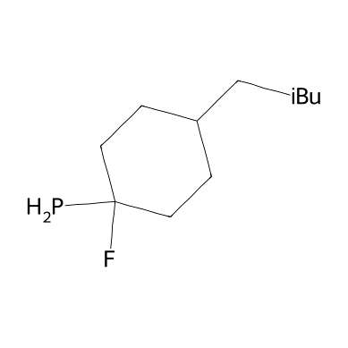 CCC(C)CC1CCC(F)(P)CC1